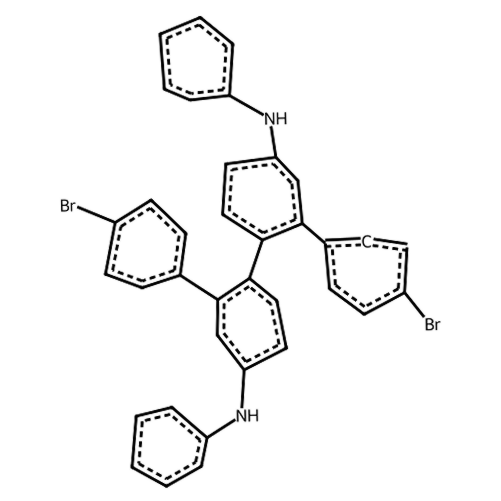 Brc1ccc(-c2cc(Nc3ccccc3)ccc2-c2ccc(Nc3ccccc3)cc2-c2ccc(Br)cc2)cc1